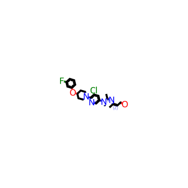 CC(=C/C=O)/N=C(/C)N(C)c1cnc(N2CCC(Oc3cccc(F)c3)CC2)c(Cl)c1